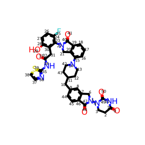 O=C1CCN(N2Cc3cc(CC4CCN(c5cccc6c5CN(c5c(F)ccc(O)c5CC(=O)Nc5nccs5)C6=O)CC4)ccc3C2=O)C(=O)N1